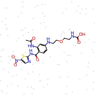 CC(=O)Nc1cc(NCCOCCNC(=O)O)ccc1C(=O)Nc1ncc([N+](=O)[O-])s1